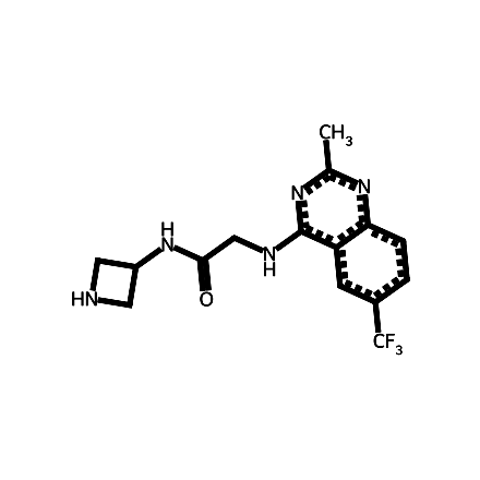 Cc1nc(NCC(=O)NC2CNC2)c2cc(C(F)(F)F)ccc2n1